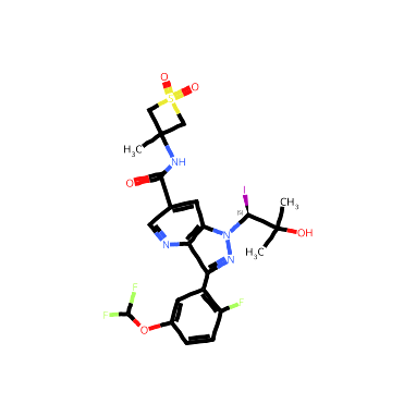 CC1(NC(=O)c2cnc3c(-c4cc(OC(F)F)ccc4F)nn([C@@H](I)C(C)(C)O)c3c2)CS(=O)(=O)C1